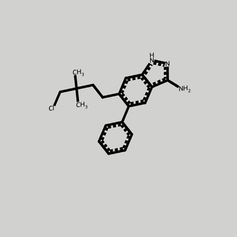 CC(C)(CCl)CCc1cc2[nH]nc(N)c2cc1-c1ccccc1